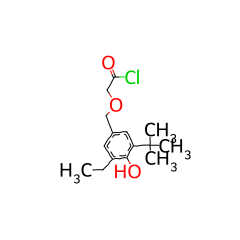 CCc1cc(COCC(=O)Cl)cc(C(C)(C)C)c1O